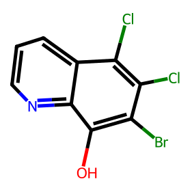 Oc1c(Br)c(Cl)c(Cl)c2cccnc12